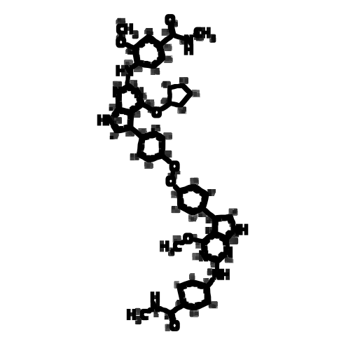 CNC(=O)c1ccc(Nc2nc(OC)c3c(-c4ccc(OOc5ccc(-c6c[nH]c7nc(Nc8ccc(C(=O)NC)cc8OC)nc(OC8CCCC8)c67)cc5)cc4)c[nH]c3n2)cc1